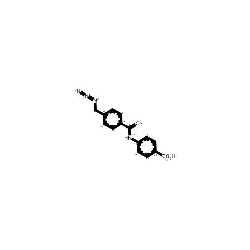 [N-]=[N+]=NCc1ccc(C(=O)Nc2ccc(C(=O)O)cc2)cc1